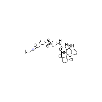 CN(C)C/C=C/C(=O)Cc1cccc(S(=O)(=O)N2CCC(NC(=O)c3n[nH]c(-c4ccccc4)c3NC(=O)c3c(Cl)cccc3Cl)CC2)c1